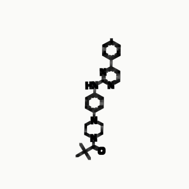 CC(C)(C)C(=O)N1CCN(c2ccc(Nc3nccc(-c4cc[c]cc4)n3)cc2)CC1